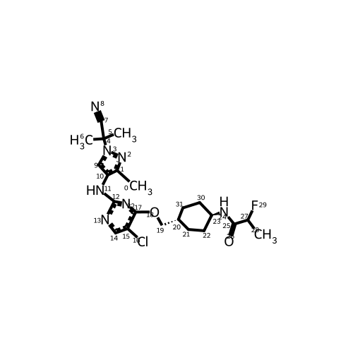 Cc1nn(C(C)(C)C#N)cc1Nc1ncc(Cl)c(OC[C@H]2CC[C@H](NC(=O)C(C)F)CC2)n1